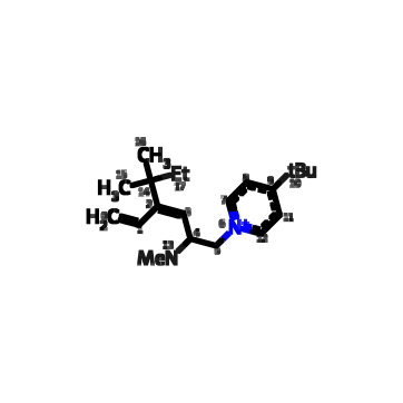 C=C/C(=C\C(C[n+]1ccc(C(C)(C)C)cc1)NC)C(C)(C)CC